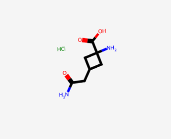 Cl.NC(=O)CC1CC(N)(C(=O)O)C1